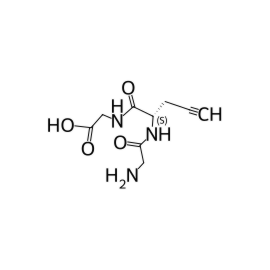 C#CC[C@H](NC(=O)CN)C(=O)NCC(=O)O